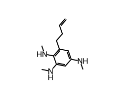 C=CCCc1cc(NC)cc(NC)c1NC